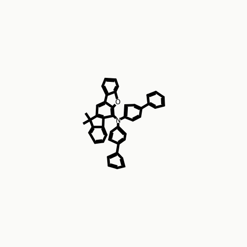 CC1(C)c2ccccc2-c2c1cc1c(oc3ccccc31)c2N(c1ccc(-c2ccccc2)cc1)c1ccc(-c2ccccc2)cc1